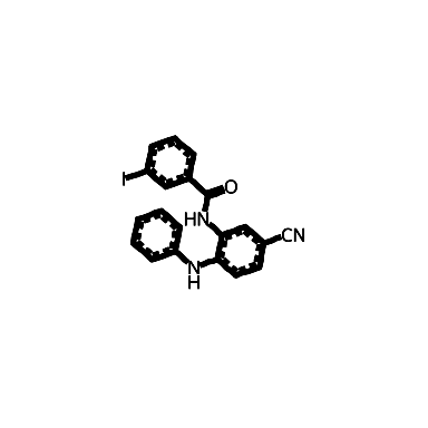 N#Cc1ccc(Nc2ccccc2)c(NC(=O)c2cccc(I)c2)c1